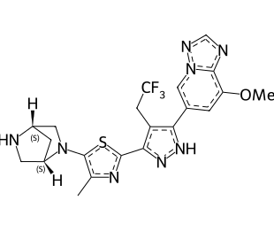 COc1cc(-c2[nH]nc(-c3nc(C)c(N4C[C@@H]5C[C@H]4CN5)s3)c2CC(F)(F)F)cn2ncnc12